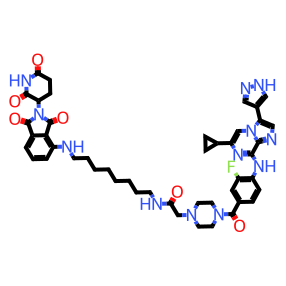 O=C(CN1CCN(C(=O)c2ccc(Nc3nc(C4CC4)cn4c(-c5cn[nH]c5)cnc34)c(F)c2)CC1)NCCCCCCCCNc1cccc2c1C(=O)N(C1CCC(=O)NC1=O)C2=O